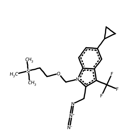 C[Si](C)(C)CCOCn1c(CN=[N+]=[N-])c(C(F)(F)F)c2cc(C3CC3)ccc21